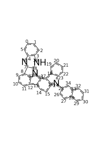 c1ccc2c(c1)N=C1c3cccc4c5ccc6c(c7ccccc7n6-c6ccc7ccccc7c6)c5n(c34)C1N2